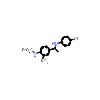 CCOC(=O)Nc1ccc(C(C)Nc2ccc(Cl)cc2)cc1[N+](=O)[O-]